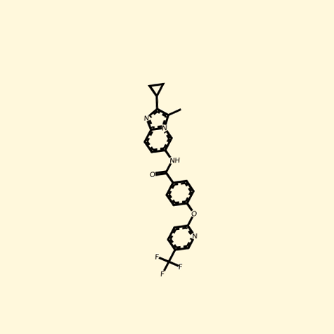 Cc1c(C2CC2)nc2ccc(NC(=O)c3ccc(Oc4ccc(C(F)(F)F)cn4)cc3)cn12